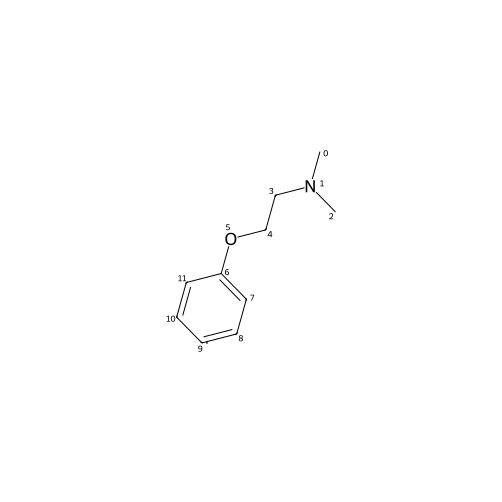 CN(C)CCOc1cc[c]cc1